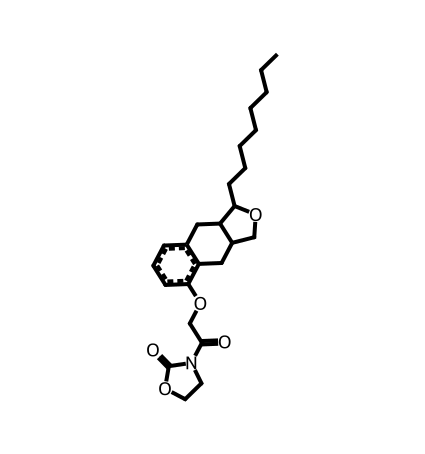 CCCCCCCCC1OCC2Cc3c(cccc3OCC(=O)N3CCOC3=O)CC21